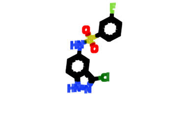 O=S(=O)(Nc1ccc2[nH]nc(Cl)c2c1)c1cccc(F)c1